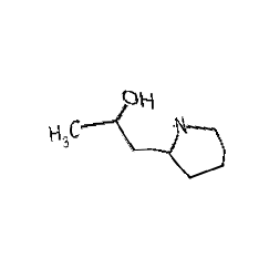 CC(O)CC1CCC[N]1